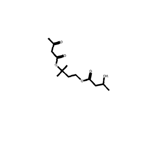 CC(=O)CC(=O)OC(C)(C)CCOC(=O)CC(C)O